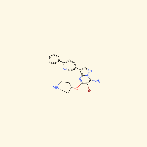 Nc1c(Br)c(OC2CCNCC2)nc2c(-c3ccc(-c4ccccc4)nc3)cnn12